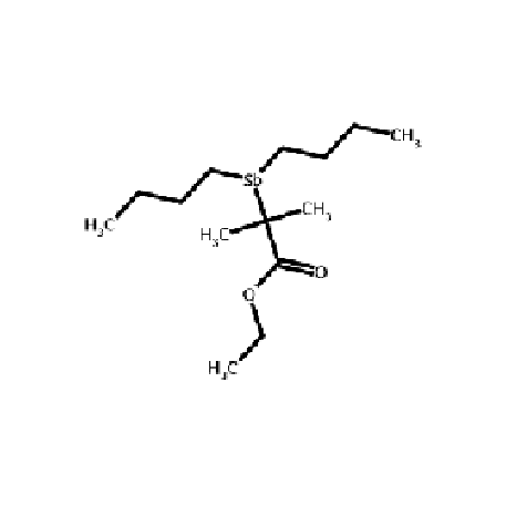 CCC[CH2][Sb]([CH2]CCC)[C](C)(C)C(=O)OCC